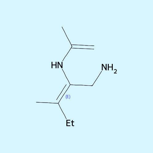 C=C(C)N/C(CN)=C(\C)CC